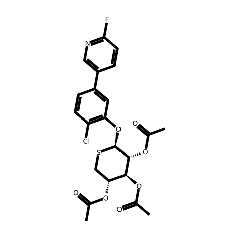 CC(=O)O[C@@H]1[C@@H](OC(C)=O)[C@H](OC(C)=O)CS[C@H]1Oc1cc(-c2ccc(F)nc2)ccc1Cl